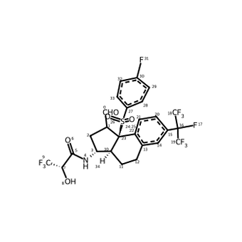 O=CC1C[C@@H](NC(=O)[C@H](O)C(F)(F)F)[C@@H]2CCc3cc(C(F)(C(F)(F)F)C(F)(F)F)ccc3[C@@]12S(=O)(=O)c1ccc(F)cc1